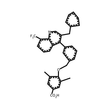 Cc1cc(C(=O)O)cc(C)c1OCc1cccc(-c2c(Cc3ccccc3)cnc3c(C(F)(F)F)cccc23)c1